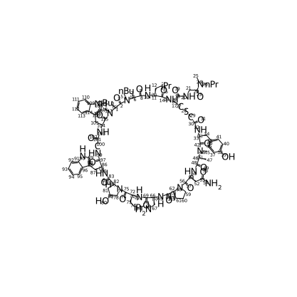 CCCC[C@H]1C(=O)N(C)[C@@H](CCCC)C(=O)N[C@@H](CC(C)C)C(=O)N[C@H](C(=O)NCC(=O)N(C)CCC)CSCC(=O)N[C@@H](Cc2ccc(O)cc2)C(=O)N(C)[C@@H](C)C(=O)N[C@@H](CC(N)=O)C(=O)N2CCC[C@H]2C(=O)N[C@@H](CN)C(=O)N[C@@H](CC(C)C)C(=O)N2C[C@H](O)C[C@H]2C(=O)N[C@@H](Cc2c[nH]c3ccccc23)C(=O)NCC(=O)NC(Cc2c[nH]c3ccccc23)C(=O)N1C